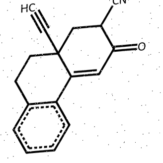 C#CC12CCc3ccccc3C1=CC(=O)C(C#N)C2